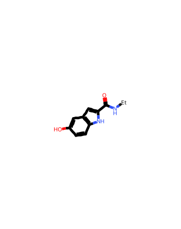 CCNC(=O)c1cc2cc(O)ccc2[nH]1